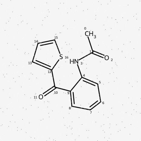 CC(=O)Nc1ccccc1C(=O)c1cccs1